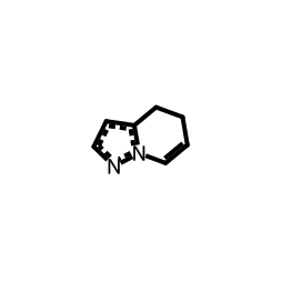 C1=Cn2nccc2CC1